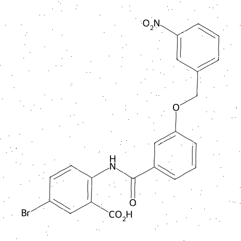 O=C(Nc1ccc(Br)cc1C(=O)O)c1cccc(OCc2cccc([N+](=O)[O-])c2)c1